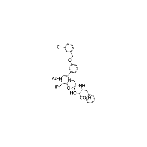 CC(=O)N1C=C(c2cccc(OCc3cccc(Cl)c3)c2)N(CC(=O)N[C@@H](Cc2ccccc2)C(O)C(=O)O)C(=O)[C@H]1C(C)C